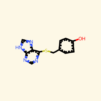 Oc1ccc(CSc2ncnc3[nH]cnc23)cc1